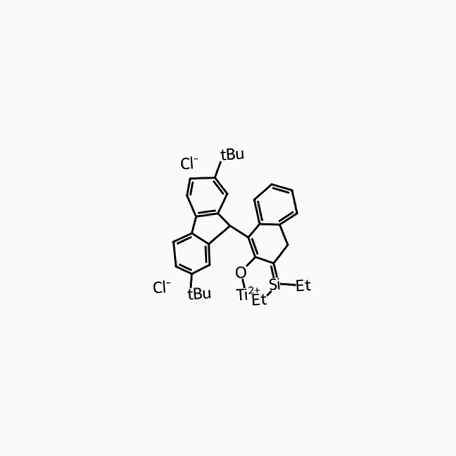 CC[Si](CC)=C1Cc2ccccc2C(C2c3cc(C(C)(C)C)ccc3-c3ccc(C(C)(C)C)cc32)=C1[O][Ti+2].[Cl-].[Cl-]